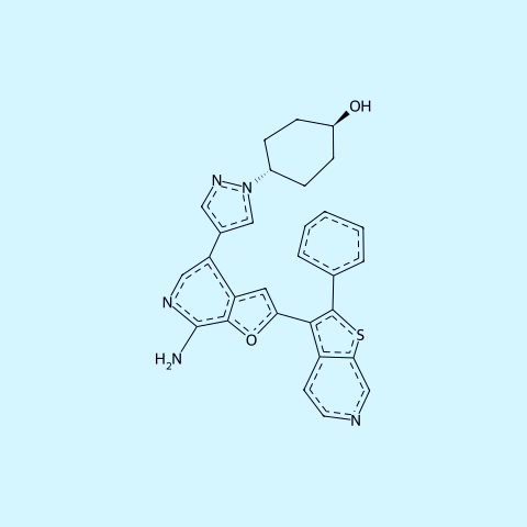 Nc1ncc(-c2cnn([C@H]3CC[C@H](O)CC3)c2)c2cc(-c3c(-c4ccccc4)sc4cnccc34)oc12